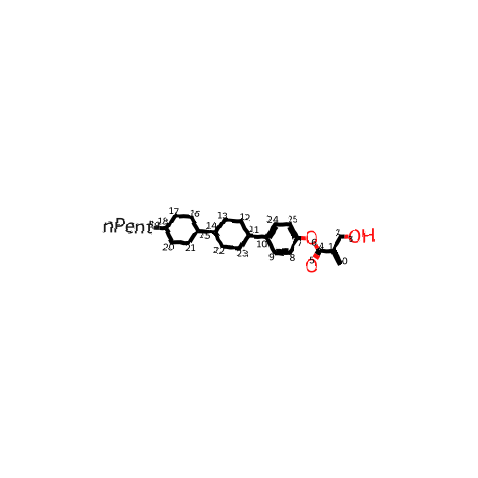 C=C(CO)C(=O)Oc1ccc(C2CCC(C3CCC(CCCCC)CC3)CC2)cc1